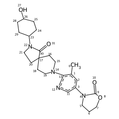 Cc1cc(N2CCCOC2=O)cnc1N1CCC2(CC1)CCN(C1CCC(O)CC1)C2=O